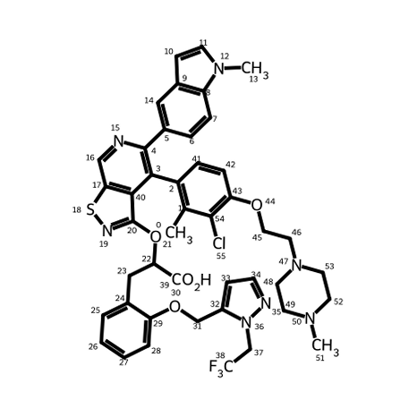 Cc1c(-c2c(-c3ccc4c(ccn4C)c3)ncc3snc(OC(Cc4ccccc4OCc4ccnn4CC(F)(F)F)C(=O)O)c23)ccc(OCCN2CCN(C)CC2)c1Cl